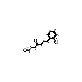 O=CNCC(=O)CCCc1ccccc1Cl